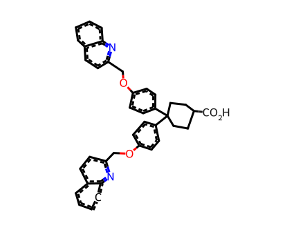 O=C(O)C1CCC(c2ccc(OCc3ccc4ccccc4n3)cc2)(c2ccc(OCc3ccc4ccccc4n3)cc2)CC1